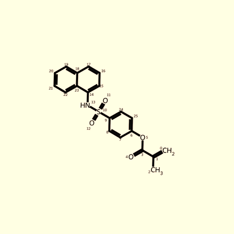 C=C(C)C(=O)Oc1ccc(S(=O)(=O)Nc2cccc3ccccc23)cc1